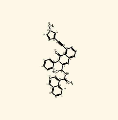 C=C(NC(C)c1cc2cccc(C#Cc3cnn(C)c3)c2c(=O)n1-c1ccccc1)c1cncc2cccnc12